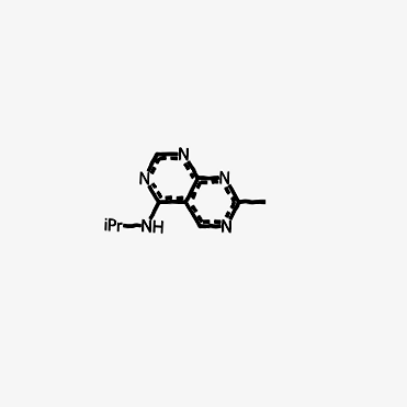 Cc1ncc2c(NC(C)C)ncnc2n1